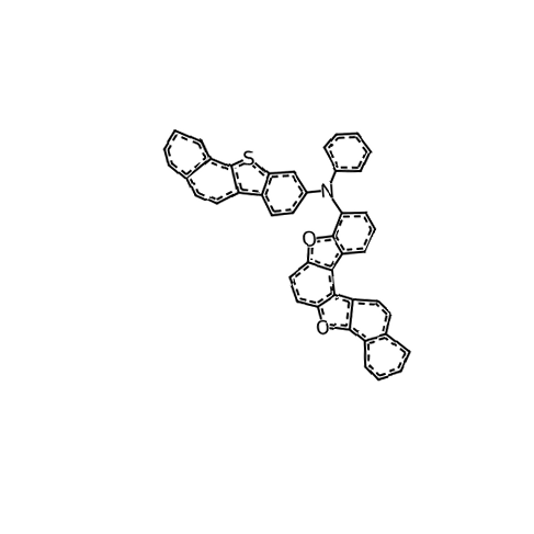 c1ccc(N(c2ccc3c(c2)sc2c4ccccc4ccc32)c2cccc3c2oc2ccc4oc5c6ccccc6ccc5c4c23)cc1